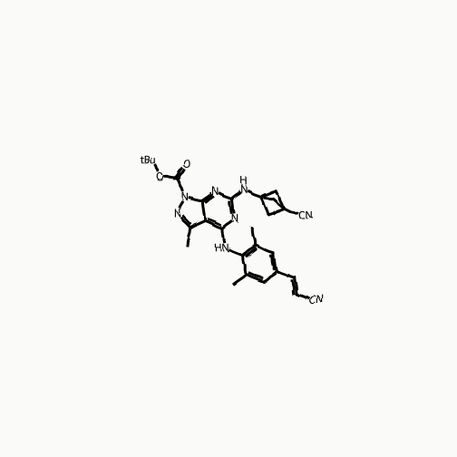 Cc1cc(/C=C/C#N)cc(C)c1Nc1nc(NC23CC(C#N)(C2)C3)nc2c1c(C)nn2C(=O)OC(C)(C)C